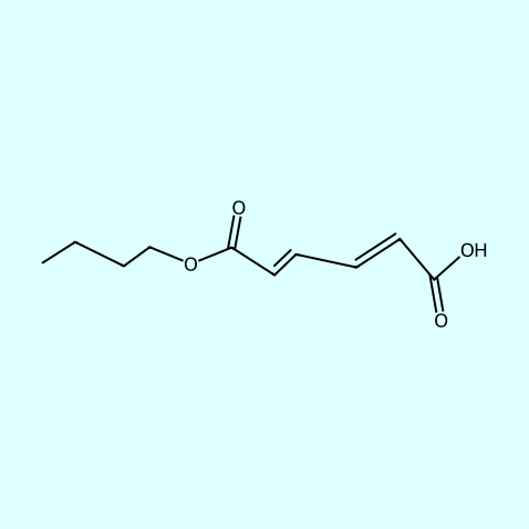 CCCCOC(=O)C=CC=CC(=O)O